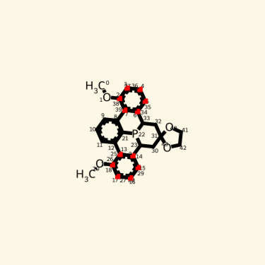 COc1ccccc1-c1cccc(-c2ccccc2OC)c1P1C(c2ccccc2)CC2(CC1c1ccccc1)OCCO2